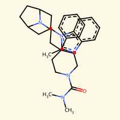 Cc1nc2ccccc2n1C1CC2CCC(C1)N2CCC1(c2ccccc2)CCN(C(=O)N(C)C)CC1